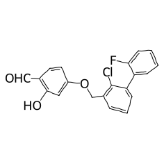 O=Cc1ccc(OCc2cccc(-c3ccccc3F)c2Cl)cc1O